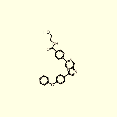 O=C(NCCO)c1ccc(-c2cn3c(-c4ccc(Oc5ccccc5)cc4)cnc3cn2)cc1